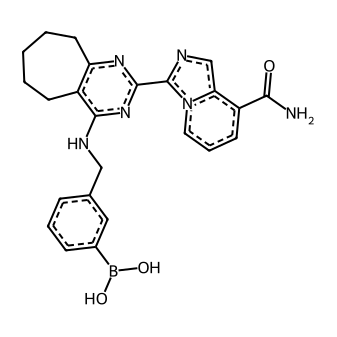 NC(=O)c1cccn2c(-c3nc4c(c(NCc5cccc(B(O)O)c5)n3)CCCCC4)ncc12